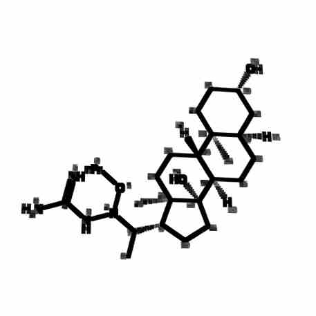 CCCON(NC(=N)N)C(C)[C@H]1CC[C@]2(O)[C@@H]3CC[C@@H]4C[C@@H](O)CC[C@]4(C)[C@H]3CC[C@]12C